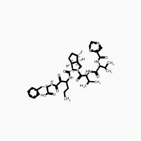 CCCC(NC(=O)[C@@H]1[C@H]2CC[C@H](F)[C@H]2CN1C(=O)[C@@H](NC(=O)[C@@H](NC(=O)c1cnccn1)C(C)C)C(C)C)C(=O)C(=O)N[C@@H](Cc1ccccc1)C(=O)O